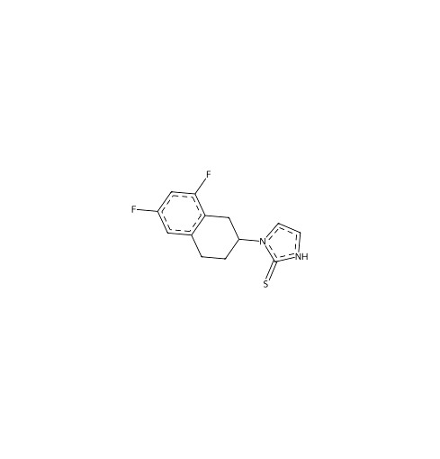 Fc1cc(F)c2c(c1)CCC(n1cc[nH]c1=S)C2